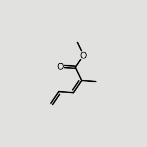 C=CC=C(C)C(=O)OC